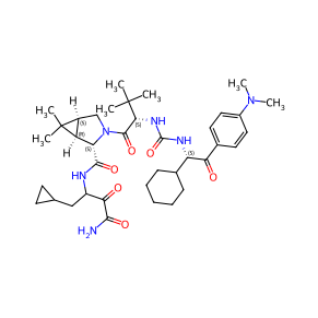 CN(C)c1ccc(C(=O)[C@@H](NC(=O)N[C@H](C(=O)N2C[C@H]3[C@@H]([C@H]2C(=O)NC(CC2CC2)C(=O)C(N)=O)C3(C)C)C(C)(C)C)C2CCCCC2)cc1